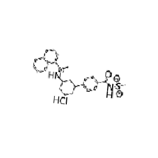 C[C@@H](NC1CCCC(c2ccc(C(=O)NS(C)(=O)=O)cc2)C1)c1cccc2ccccc12.Cl